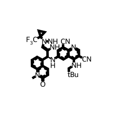 Cn1c(=O)ccc2c([C@H](Nc3cc(C#N)c4ncc(C#N)c(NCC(C)(C)C)c4c3)C3=CN(C4(C(F)(F)F)CC4)NN3)cccc21